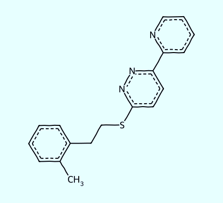 Cc1ccccc1CCSc1ccc(-c2ccccn2)nn1